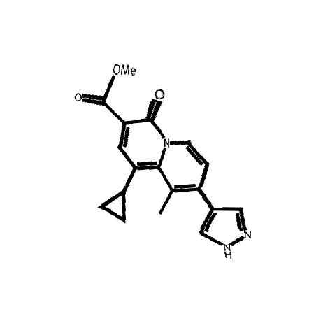 COC(=O)c1cc(C2CC2)c2c(C)c(-c3cn[nH]c3)ccn2c1=O